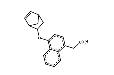 O=C(O)Cc1ccc(OC2CC3C=CC2C3)c2ccccc12